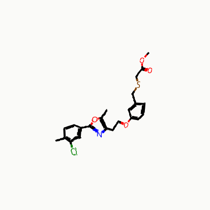 COC(=O)CSCc1cccc(OCCc2nc(-c3ccc(C)c(Cl)c3)oc2C)c1